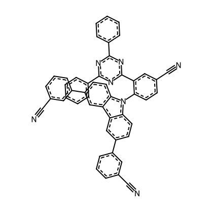 N#Cc1cccc(-c2ccc3c(c2)c2cc(-c4cccc(C#N)c4)ccc2n3-c2ccc(C#N)cc2-c2nc(-c3ccccc3)nc(-c3ccccc3)n2)c1